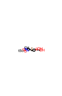 CN(C(=O)OC(C)(C)C)c1ccc(-c2cc3ccc(OC[C@H](O)CO)cc3s2)cn1